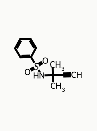 C#CC(C)(C)NS(=O)(=O)c1ccccc1